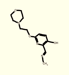 C/N=C/c1nc(OCCN2CCOCC2)ccc1O